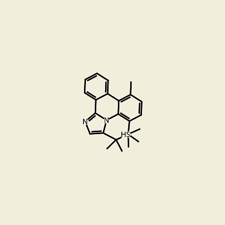 Cc1ccc2c3c1c1ccccc1c1ncc(n13)C(C)(C)[SH]2(C)(C)C